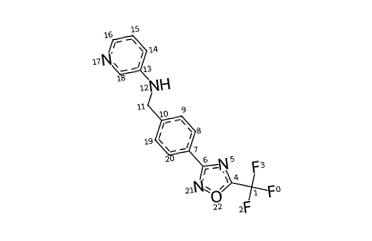 FC(F)(F)c1nc(-c2ccc(CNc3cccnc3)cc2)no1